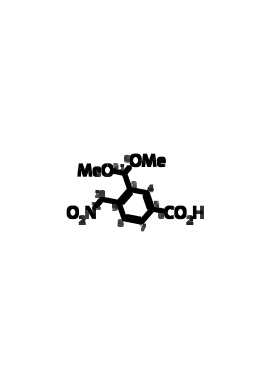 COC(OC)c1cc(C(=O)O)ccc1C[N+](=O)[O-]